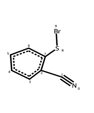 N#Cc1ccccc1SBr